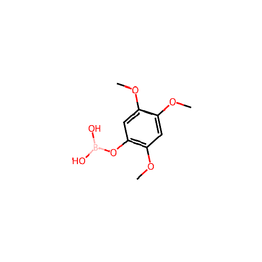 COc1cc(OC)c(OB(O)O)cc1OC